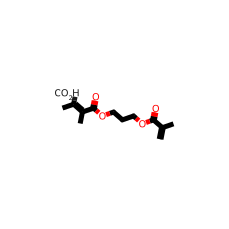 C=C(C)C(=O)OCCCOC(=O)/C(C)=C(/C)C(=O)O